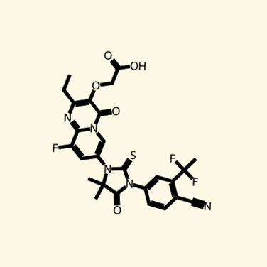 CCc1nc2c(F)cc(N3C(=S)N(c4ccc(C#N)c(C(C)(F)F)c4)C(=O)C3(C)C)cn2c(=O)c1OCC(=O)O